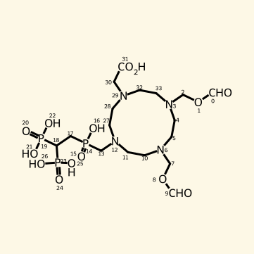 O=COCN1CCN(COC=O)CCN(CP(=O)(O)CC(P(=O)(O)O)P(=O)(O)O)CCN(CC(=O)O)CC1